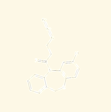 [N-]=[N+]=NCCC(=O)N1c2ccccc2COc2ccc(Cl)cc21